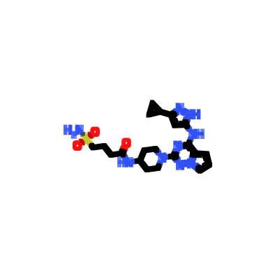 NS(=O)(=O)CCCC(=O)NC1CCN(c2nc(Nc3cc(C4CC4)n[nH]3)c3cccn3n2)CC1